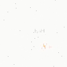 CCCCCCCCCCCCCCCCCCOS(=O)(=O)O.[BaH2]